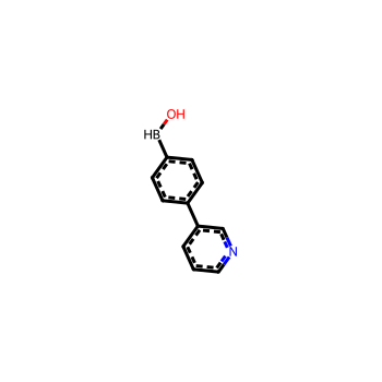 OBc1ccc(-c2cccnc2)cc1